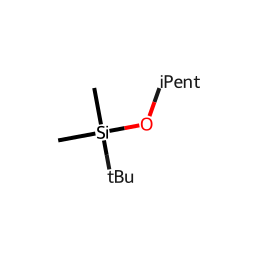 CCCC(C)O[Si](C)(C)C(C)(C)C